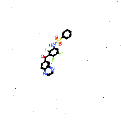 O=C(c1ccc2nccnc2c1)c1c(F)c(F)cc(NS(=O)(=O)c2ccccc2)c1F